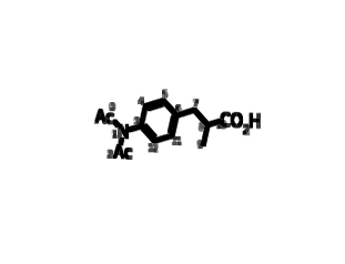 CC(=O)N(C(C)=O)c1ccc(CC(C)C(=O)O)cc1